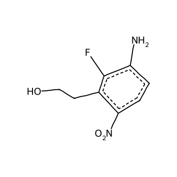 Nc1ccc([N+](=O)[O-])c(CCO)c1F